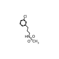 CS(=O)(=O)NCCCc1cccc(Cl)c1